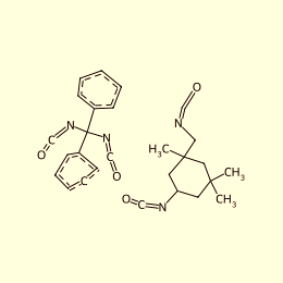 CC1(C)CC(N=C=O)CC(C)(CN=C=O)C1.O=C=NC(N=C=O)(c1ccccc1)c1ccccc1